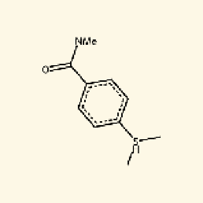 CNC(=O)c1ccc([SH](C)C)cc1